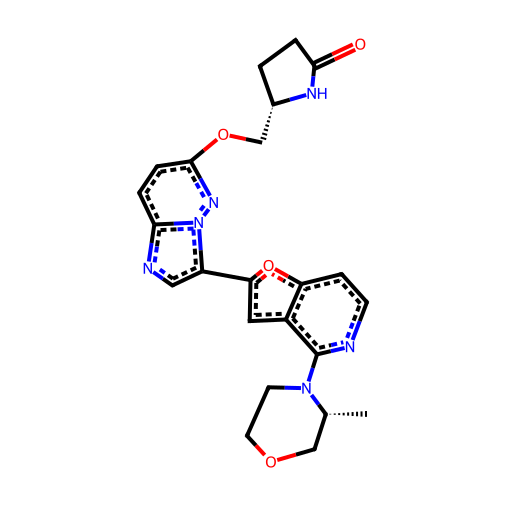 C[C@@H]1COCCN1c1nccc2oc(-c3cnc4ccc(OC[C@@H]5CCC(=O)N5)nn34)cc12